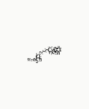 COC(=O)c1ccc(OCCCCC2CCN(C(=O)[C@](O)(c3ccccc3)C(F)(F)F)CC2)cc1Cl